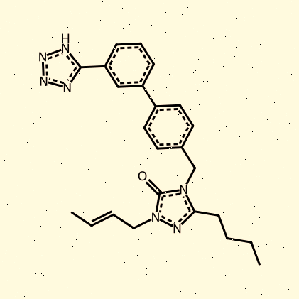 CC=CCn1nc(CCCC)n(Cc2ccc(-c3cccc(-c4nnn[nH]4)c3)cc2)c1=O